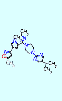 C=C/N=C(\c1cc(-c2cc(C)on2)cn1C)N1CCN(c2ncc(C(C)C)cn2)CC1